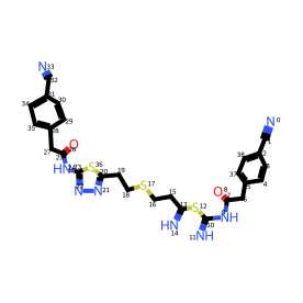 N#Cc1ccc(CC(=O)NC(=N)SC(=N)CCSCCc2nnc(NC(=O)Cc3ccc(C#N)cc3)s2)cc1